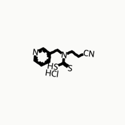 Cl.N#CCCN(Cc1cccnc1)C(=S)S